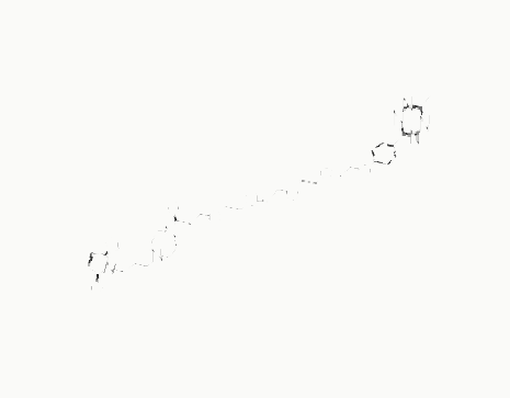 Cc1nnc(-c2ccc(OCCOCCOCCOCCOCCC(=O)N3CCN(CCCN4C(=O)C=CC4=O)CC3)cc2)nn1